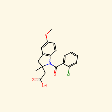 COc1ccc2c(c1)CC(C)(CC(=O)O)N2C(=O)c1ccccc1Cl